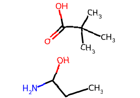 CC(C)(C)C(=O)O.CCC(N)O